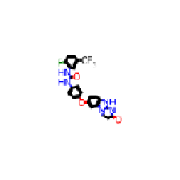 O=C1CCN2C(=N1)Nc1ccc(Oc3ccc(NC(=O)Nc4cc(C(F)(F)F)ccc4F)cc3)cc12